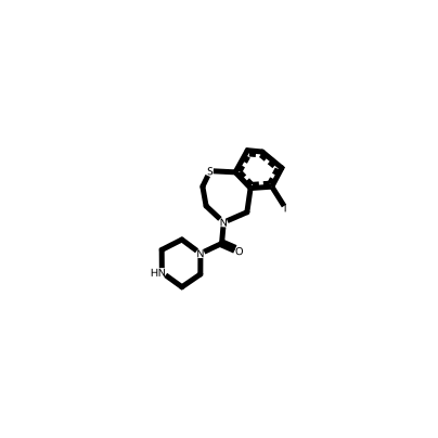 O=C(N1CCNCC1)N1CCSc2cccc(I)c2C1